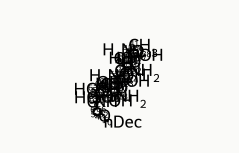 CCCCCCCCCCCOc1cccc(C(=O)NC2C(OC3C(O)C(N)[C@H](OC4C(CO)OC(OC5C(O)C(N)[C@H](OC6C(CO)OC(C)C(N)C6O)O[C@H]5CO)C(N)C4O)O[C@H]3CO)OC(CO)C(O)C2O)c1